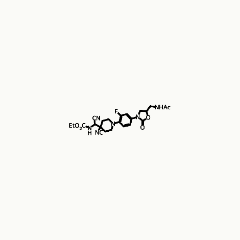 CCOC(=O)NC(C#N)C1(C#N)CCN(c2ccc(N3CC(CNC(C)=O)OC3=O)cc2F)CC1